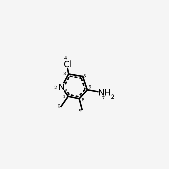 Cc1nc(Cl)cc(N)c1C